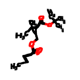 CCCC(=O)OCC1C(C(=O)OC(C)(C)C)C1(C)C